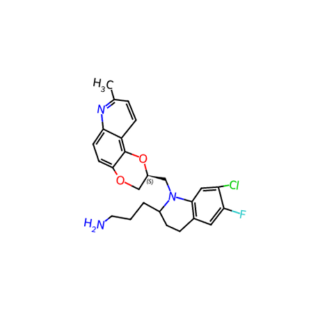 Cc1ccc2c3c(ccc2n1)OC[C@H](CN1c2cc(Cl)c(F)cc2CCC1CCCN)O3